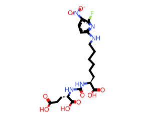 O=C(O)CC[C@H](NC(=O)N[C@@H](CCCCCCNc1ccc([N+](=O)[O-])c(F)n1)C(=O)O)C(=O)O